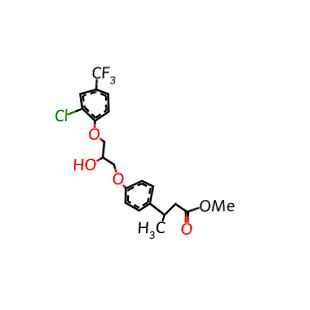 COC(=O)CC(C)c1ccc(OCC(O)COc2ccc(C(F)(F)F)cc2Cl)cc1